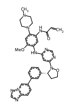 C=CC(=O)Nc1cc(Nc2cc(N3OCC[C@@H]3c3cccc(-c4ccc5ncnn5c4)c3)ncn2)c(OC)cc1N1CCN(C)CC1